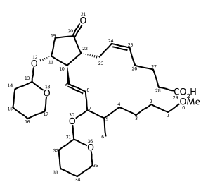 COCCCCC(C)C(/C=C/[C@H]1[C@H](OC2CCCCO2)CC(=O)[C@@H]1C/C=C\CCCC(=O)O)OC1CCCCO1